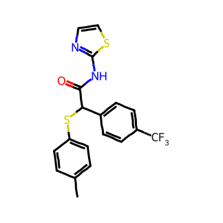 Cc1ccc(SC(C(=O)Nc2nccs2)c2ccc(C(F)(F)F)cc2)cc1